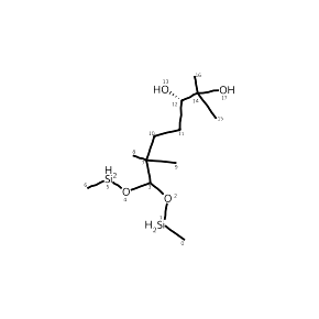 C[SiH2]OC(O[SiH2]C)C(C)(C)CC[C@H](O)C(C)(C)O